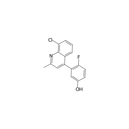 Cc1cc(-c2cc(O)ccc2F)c2cccc(Cl)c2n1